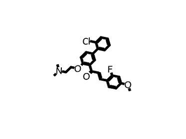 COc1ccc(C=CC(=O)c2cc(-c3ccccc3Cl)ccc2OCCN(C)C)c(F)c1